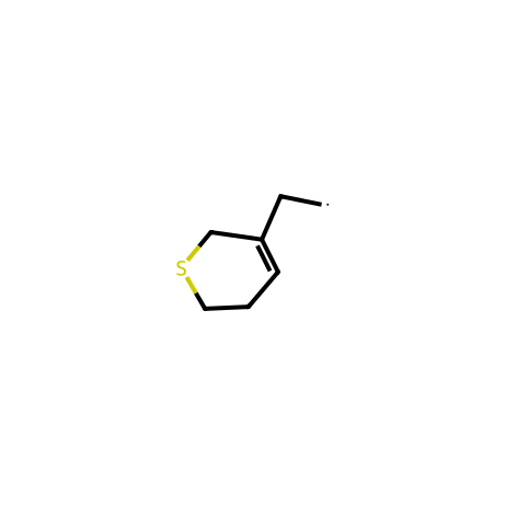 [CH2]CC1=CCCSC1